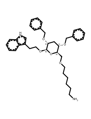 NCCCCCCOC[C@H]1O[C@@H](OCCc2c[nH]c3ccccc23)[C@H](OCc2ccccc2)C[C@@H]1OCc1ccccc1